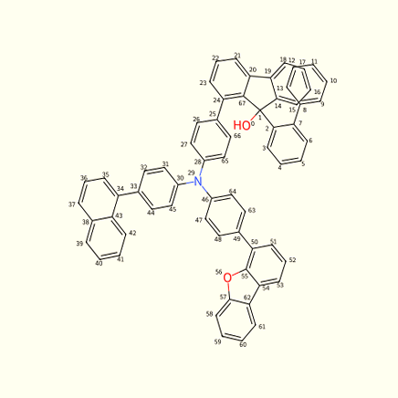 OC1(c2ccccc2-c2ccccc2)c2ccccc2-c2cccc(-c3ccc(N(c4ccc(-c5cccc6ccccc56)cc4)c4ccc(-c5cccc6c5oc5ccccc56)cc4)cc3)c21